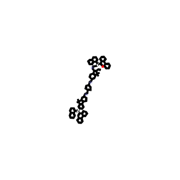 C=CC1=C(/C=C\CN(c2cccc3ccccc23)c2cc3ccccc3c3ccccc23)c2ccc(/C=C/c3ccc(/C=C/c4ccc5c(c4)C(C)(C)c4cc(N(c6cccc7ccccc67)c6cc7ccccc7c7ccccc67)ccc4-5)cc3)cc2C1(C)C